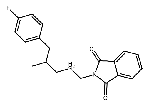 CC(C[SiH2]CN1C(=O)c2ccccc2C1=O)Cc1ccc(F)cc1